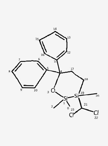 C[Si]1(C)OC(c2ccccc2)(c2ccccc2)CC[Si]1(C)C(Cl)Cl